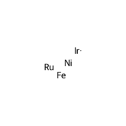 [Fe].[Ir].[Ni].[Ru]